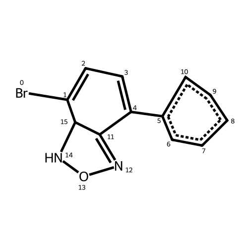 BrC1=CC=C(c2ccccc2)C2=NONC12